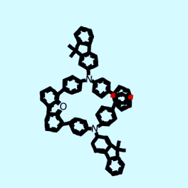 CC1(C)C2=CC(N(c3ccc(-c4ccccc4)cc3)c3ccc(-c4cccc5c4oc4c(-c6ccc(N(c7ccc(-c8ccccc8)cc7)c7ccc8c(c7)C(C)(C)c7ccccc7-8)cc6)cccc45)cc3)CC=C2c2ccccc21